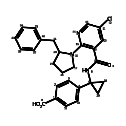 O=C(O)c1ccc(C2(NC(=O)c3cc(Cl)cnc3N3CCCC3Cc3ccccc3)CC2)cc1